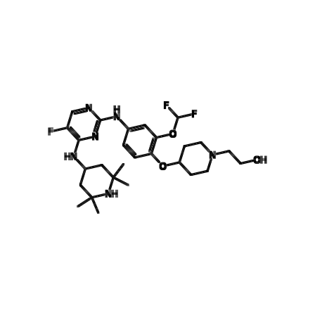 CC1(C)CC(Nc2nc(Nc3ccc(OC4CCN(CCO)CC4)c(OC(F)F)c3)ncc2F)CC(C)(C)N1